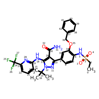 CCS(=O)(=O)Nc1ccc(-c2nn(C(C)(C)C)c(Nc3cccc(C(F)(F)F)n3)c2C(N)=O)cc1OCc1ccccc1